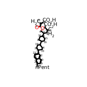 C=C(CC(=O)O)CC(COC(=O)C(=C)CC(=O)O)C1CCC(C2CCC(c3ccc4cc(CCCCC)ccc4c3)CC2)CC1